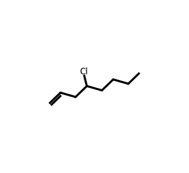 C=CCC(Cl)CCCC